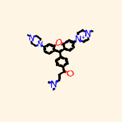 CN(C)CCC(=O)c1ccc(-c2c3ccc(=[N+]4CCN(C)CC4)cc-3oc3cc(N4CCN(C)CC4)ccc23)cc1